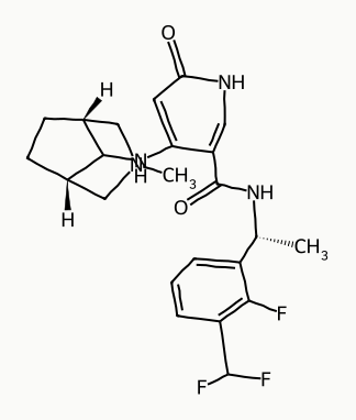 C[C@@H](NC(=O)c1c[nH]c(=O)cc1NC1[C@@H]2CC[C@H]1CN(C)C2)c1cccc(C(F)F)c1F